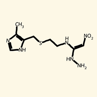 Cc1nc[nH]c1CSCCN/C(=C\[N+](=O)[O-])NN